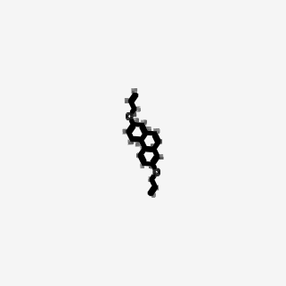 C=CCOc1ccc2c(ccc3cc(OCC=C)ccc32)c1